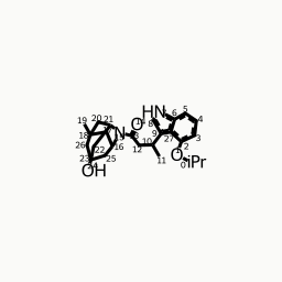 CC(C)Oc1cccc2[nH]cc(C(C)CC(=O)N3C4CC5(C)CC3CC(O)(C4)C5)c12